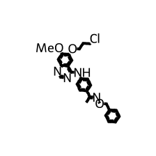 COc1cc2ncnc(Nc3ccc(C(C)=NOCc4ccccc4)cc3)c2cc1OCCCCl